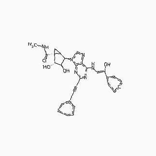 CNC(=O)[C@]12CC1[C@@H](n1cnc3c(N/C=C(\O)c4ccccc4)nc(C#Cc4ccccc4)nc31)C(O)[C@@H]2O